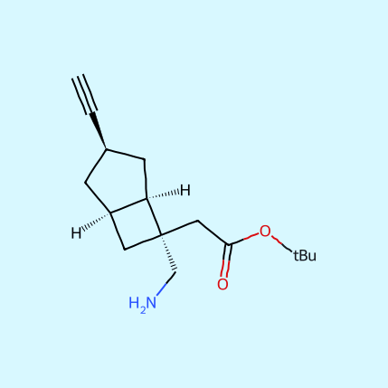 C#C[C@@H]1C[C@@H]2C[C@](CN)(CC(=O)OC(C)(C)C)[C@@H]2C1